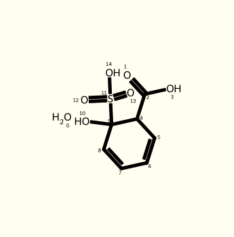 O.O=C(O)C1C=CC=CC1(O)S(=O)(=O)O